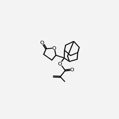 C=C(C)C(=O)OC1(C2CCC(=O)O2)C2CC3CC(C2)CC1C3